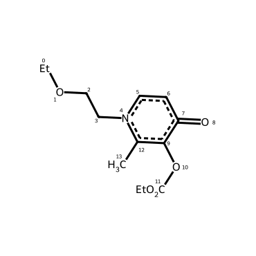 CCOCCn1ccc(=O)c(OC(=O)OCC)c1C